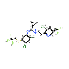 FC(F)(F)CSc1cc(/N=C(\NCCc2ncc(C(F)(F)F)cc2Cl)C2CC2)c(Cl)cc1Cl